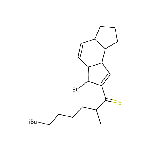 CCC(C)CCCCC(C)C(=S)C1=CC2C(C=CC3CCCC32)C1CC